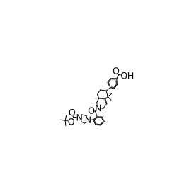 CC(C)(C)OC(=O)N1CCN(c2ccccc2C(=O)N2CC=C3C(C)(C)C(c4ccc(C(=O)O)cc4)CC[C@]3(C)C2)CC1